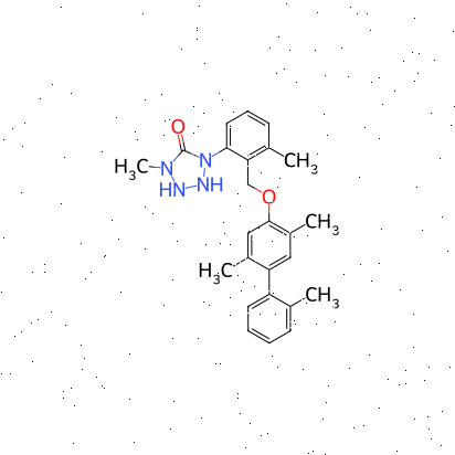 Cc1cc(-c2ccccc2C)c(C)cc1OCc1c(C)cccc1N1NNN(C)C1=O